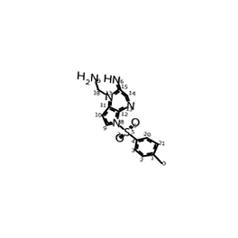 Cc1ccc(S(=O)(=O)n2ccc3c2ncc(=N)n3CN)cc1